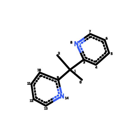 CC(C)(c1ccccn1)c1ccccn1